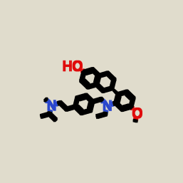 CCN(Cc1ccc(CCN(C)C(C)C)cc1)c1cc(OC)ccc1[C@@H]1CCc2cc(O)ccc2C1